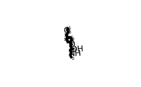 CCNCC(O)COc1ccc(CCOC)cc1